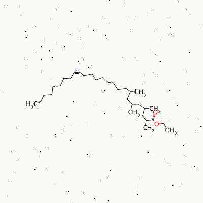 CCCCCCCC/C=C\CCCCCCCCC(C)CC(C)CC(C)CC(C)C(=O)OCC